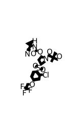 CC1(C(=O)N2C[C@H](S(=O)(=O)c3ccc(OCC(F)(F)F)cc3Cl)C[C@@H]2OC(=O)NC2(C#N)CC2)COC1